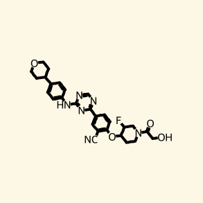 N#Cc1cc(-c2ncnc(Nc3ccc(C4CCOCC4)cc3)n2)ccc1OC1CCN(C(=O)CO)CC1F